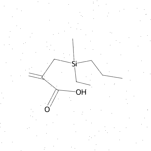 C=C(C[Si](C)(CC)CCC)C(=O)O